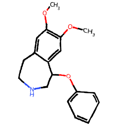 COc1cc2c(cc1OC)C(Oc1ccccc1)CNCC2